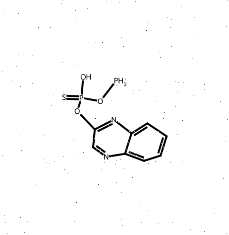 OP(=S)(OP)Oc1cnc2ccccc2n1